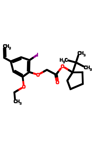 C=Cc1cc(I)c(OCC(=O)OC2(C(C)(C)C)CCCC2)c(OCC)c1